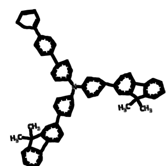 CC1(C)c2ccccc2-c2ccc(-c3ccc(N(c4ccc(-c5ccc(C6=CC=CCC6)cc5)cc4)c4ccc(-c5ccc6c(c5)C(C)(C)c5ccccc5-6)cc4)cc3)cc21